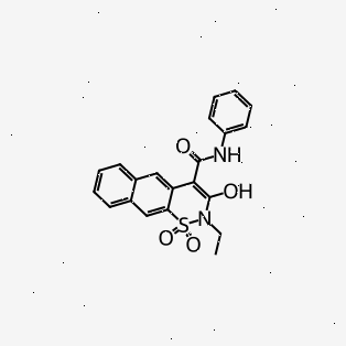 CCN1C(O)=C(C(=O)Nc2ccccc2)c2cc3ccccc3cc2S1(=O)=O